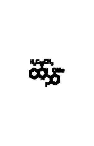 COc1cccc(F)c1-c1nc(N(C)C)c2ccccc2n1